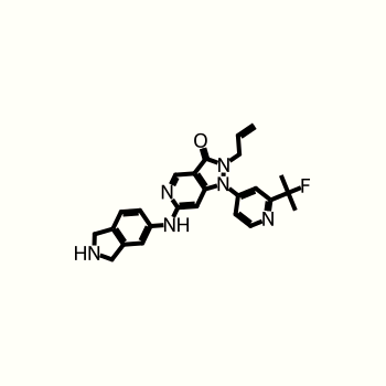 C=CCn1c(=O)c2cnc(Nc3ccc4c(c3)CNC4)cc2n1-c1ccnc(C(C)(C)F)c1